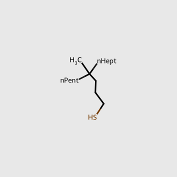 CCCCCCCC(C)(CCCS)CCCCC